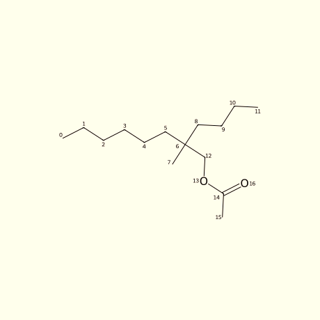 CCCCCCC(C)(CCCC)COC(C)=O